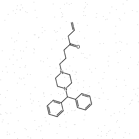 C=CCC(=O)CCCN1CCN(C(c2ccccc2)c2ccccc2)CC1